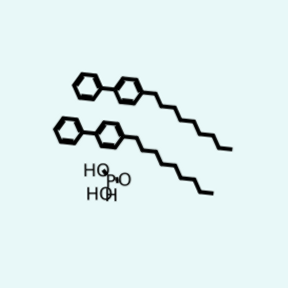 CCCCCCCCCc1ccc(-c2ccccc2)cc1.CCCCCCCCCc1ccc(-c2ccccc2)cc1.O=[PH](O)O